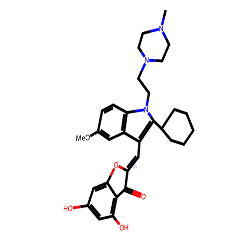 COc1ccc2c(c1)c(/C=C1\Oc3cc(O)cc(O)c3C1=O)c(C1CCCCC1)n2CCN1CCN(C)CC1